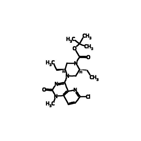 CC[C@@H]1CN(c2nc(=O)n(C)c3ccc(Cl)nc23)[C@@H](CC)CN1C(=O)OC(C)(C)C